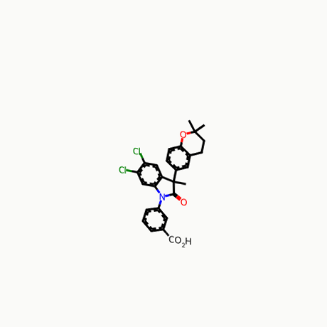 CC1(C)CCc2cc(C3(C)C(=O)N(c4cccc(C(=O)O)c4)c4cc(Cl)c(Cl)cc43)ccc2O1